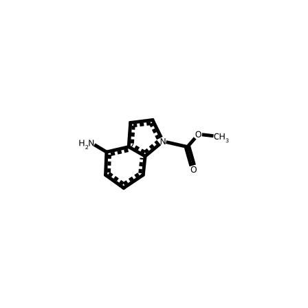 COC(=O)n1ccc2c(N)cccc21